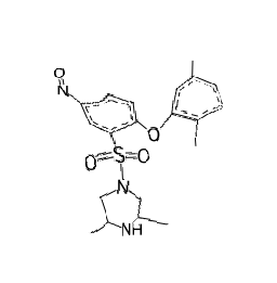 Cc1ccc(C)c(Oc2ccc(N=O)cc2S(=O)(=O)N2CC(C)NC(C)C2)c1